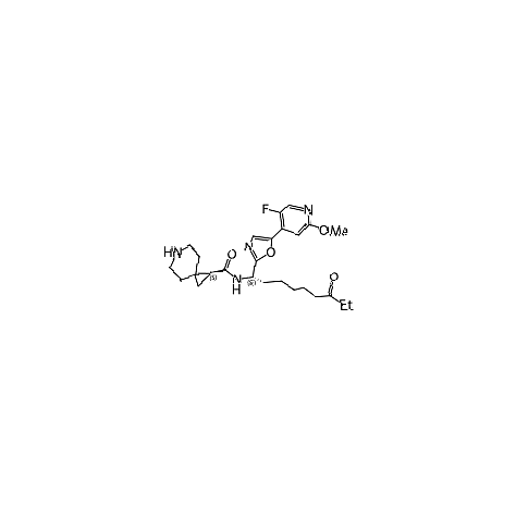 CCC(=O)CCCCC[C@H](NC(=O)[C@H]1CC12CCNCC2)c1ncc(-c2cc(OC)ncc2F)o1